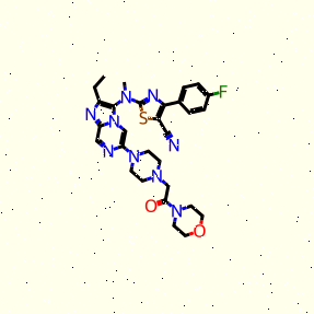 CCc1nc2cnc(N3CCN(CC(=O)N4CCOCC4)CC3)cn2c1N(C)c1nc(-c2ccc(F)cc2)c(C#N)s1